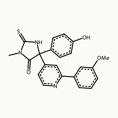 COc1cccc(-c2cc(C3(c4ccc(O)cc4)NC(=S)N(C)C3=O)ccn2)c1